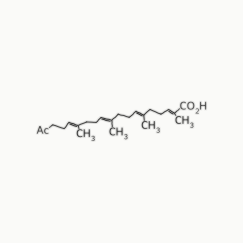 CC(=O)CC/C=C(\C)CC/C=C(\C)CC/C=C(\C)CC/C=C(\C)C(=O)O